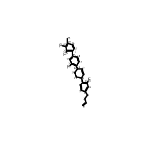 C=CCCc1ccc(C2C=CC(c3ccc(-c4ccc(C)c(F)c4F)cc3F)CC2)c(F)c1